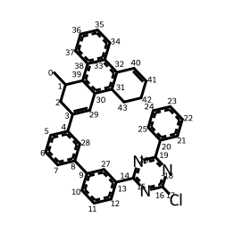 CC1CC(c2cccc(-c3cccc(-c4nc(Cl)nc(-c5ccccc5)n4)c3)c2)=Cc2c3c(c4ccccc4c21)C=CCC3